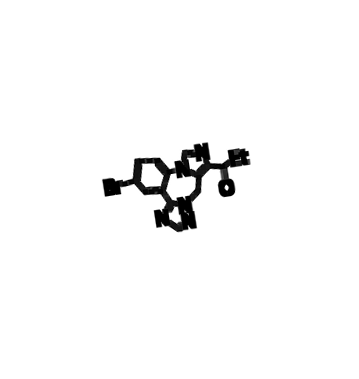 CCC(=O)c1ncn2c1Cn1ncnc1-c1cc(Br)ccc1-2